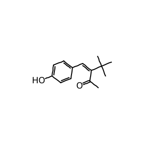 CC(=O)C(=Cc1ccc(O)cc1)C(C)(C)C